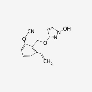 C=Cc1cccc(OC#N)c1COc1ccn(O)n1